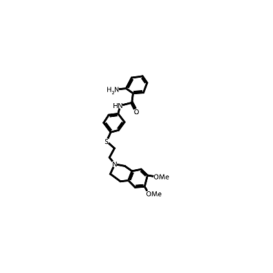 COc1cc2c(cc1OC)CN(CCSc1ccc(NC(=O)c3ccccc3N)cc1)CC2